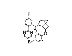 O=C(c1cc(F)ccc1-c1ncccn1)N1CC2CC23CC(Oc2ccc(Br)cn2)C13